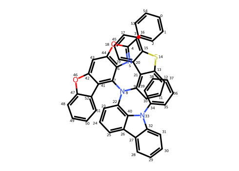 c1ccc(-c2nc3c(N(c4cccc5sc6ccccc6c45)c4cccc5c6ccccc6n(-c6ccccc6)c45)c4c(cc3o2)oc2ccccc24)cc1